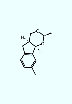 Cc1ccc2c(c1)[C@@H]1O[C@H](C)OC[C@@H]1C2